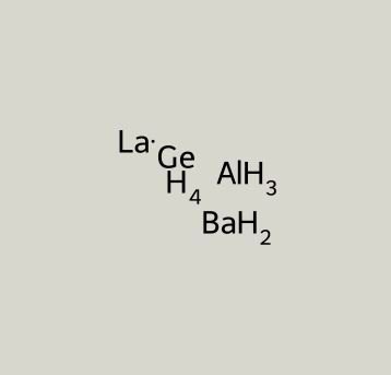 [AlH3].[BaH2].[GeH4].[La]